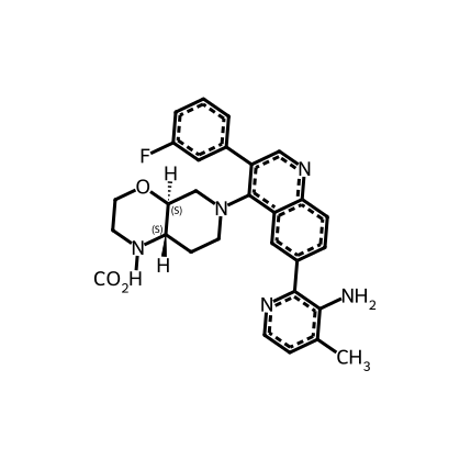 Cc1ccnc(-c2ccc3ncc(-c4cccc(F)c4)c(N4CC[C@H]5[C@H](C4)OCCN5C(=O)O)c3c2)c1N